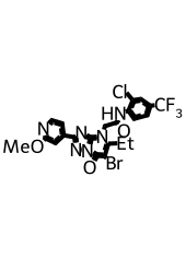 CCc1c(Br)c(=O)n2nc(-c3ccnc(OC)c3)nc2n1CC(=O)Nc1ccc(C(F)(F)F)cc1Cl